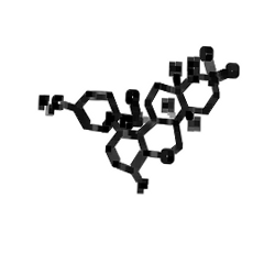 O=S1(=O)CC[C@H]2[C@H](CC[C@]3(S(=O)(=O)c4ccc(C(F)(F)F)cc4)c4c(F)ccc(F)c4OC[C@H]23)N1